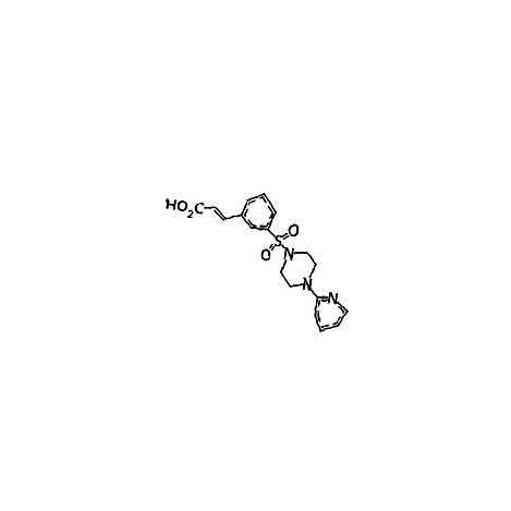 O=C(O)C=Cc1cccc(S(=O)(=O)N2CCN(c3ccccn3)CC2)c1